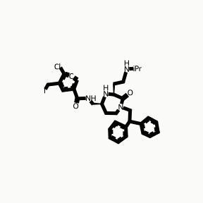 CC(C)NCC[C@@H]1N[C@H](CNC(=O)c2ccc(Cl)c(CI)c2)CCN(CC(c2ccccc2)c2ccccc2)C1=O